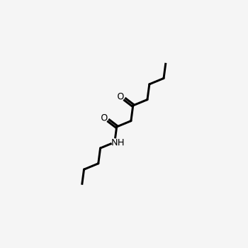 CCCCNC(=O)CC(=O)CCCC